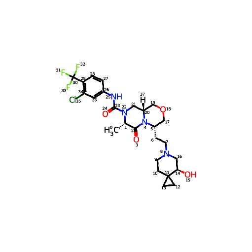 C[C@H]1C(=O)N2[C@@H](CCN3CCC4(CC4)[C@H](O)C3)COC[C@H]2CN1C(=O)Nc1ccc(C(F)(F)F)c(Cl)c1